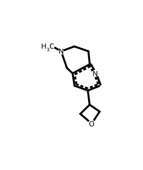 CN1CCc2ncc(C3COC3)cc2C1